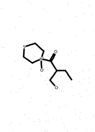 CCC(C[O])C(=O)[N+]1([O-])CCSCC1